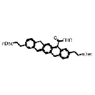 CCCCCCCCCCCCc1ccc2c(c1)C=c1cc3c(cc1C2)=C(C(=O)C=O)c1cc(CCCCCCCCCCCC)ccc1C3